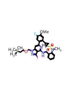 COc1cc(C2CC2)c(-c2cc3c(c(I)nn3COCC[Si](C)(C)C)c(NCc3ccccc3N(C)S(C)(=O)=O)n2)cc1F